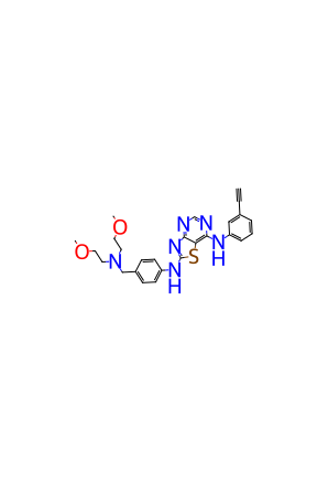 C#Cc1cccc(Nc2ncnc3nc(Nc4ccc(CN(CCOC)CCOC)cc4)sc23)c1